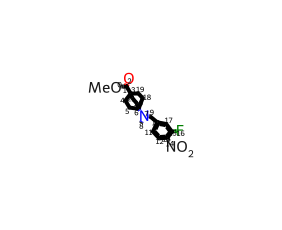 COC(=O)C12CCC(N(C)Cc3ccc([N+](=O)[O-])c(F)c3)(CC1)CC2